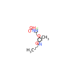 CCCCc1nc2cc(C)c(OCC(=CF)CNC(=O)O)cc2o1